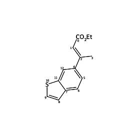 CCOC(=O)C=C(C)c1ccc2ccsc2c1